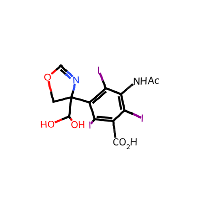 CC(=O)Nc1c(I)c(C(=O)O)c(I)c(C2(C(O)O)COC=N2)c1I